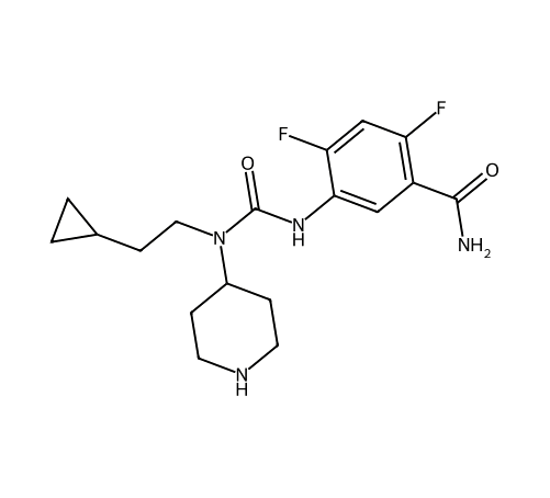 NC(=O)c1cc(NC(=O)N(CCC2CC2)C2CCNCC2)c(F)cc1F